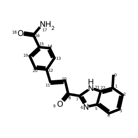 Cc1cccc2nc(C(=O)C=Cc3ccc(C(N)=O)cc3)[nH]c12